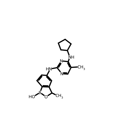 Cc1cnc(Nc2ccc3c(c2)C(C)OB3O)nc1NC1CCCC1